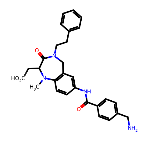 CN1c2ccc(NC(=O)c3ccc(CN)cc3)cc2CN(CCc2ccccc2)C(=O)C1CC(=O)O